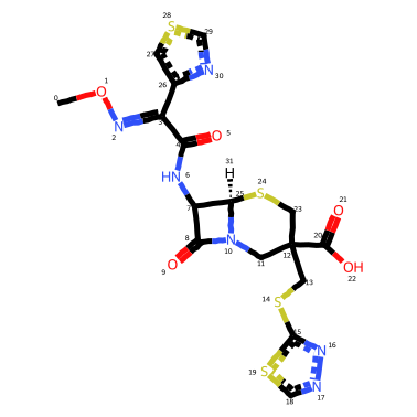 CON=C(C(=O)NC1C(=O)N2CC(CSc3nncs3)(C(=O)O)CS[C@H]12)c1cscn1